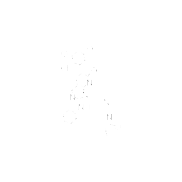 C=CC(=O)N1CC(C)N(CCCn2c(=O)c(-c3cc(OC)cc(OC)c3Cl)cc3cnc(Nc4ccccc4)nc32)C(C)C1